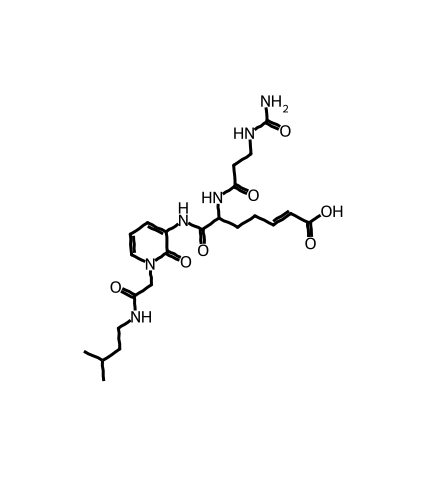 CC(C)CCNC(=O)Cn1cccc(NC(=O)C(CCC=CC(=O)O)NC(=O)CCNC(N)=O)c1=O